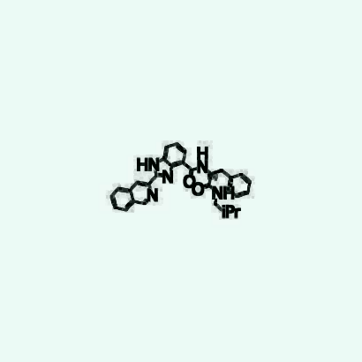 CC(C)CNC(=O)[C@H](Cc1ccccc1)NC(=O)c1cccc2[nH]c(-c3cc4ccccc4cn3)nc12